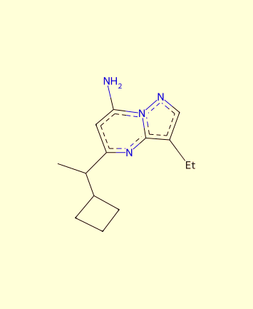 CCc1cnn2c(N)cc(C(C)C3CCC3)nc12